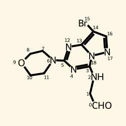 O=CCNc1nc(N2CCOCC2)nc2c(Br)cnn12